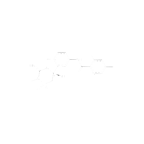 CCN1C(=N)N[C@](N)(c2cc(NC(=O)c3ncc(Cl)cc3C)ccc2F)CS1(=O)=O